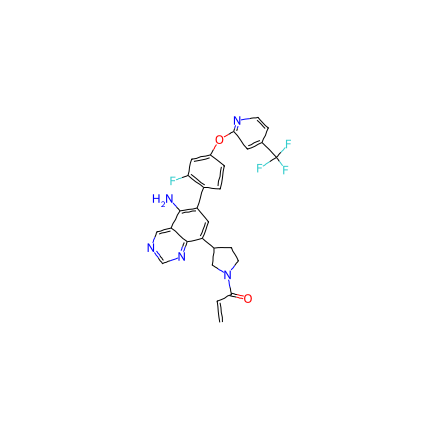 C=CC(=O)N1CCC(c2cc(-c3ccc(Oc4cc(C(F)(F)F)ccn4)cc3F)c(N)c3cncnc23)C1